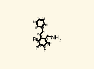 NCc1c(F)c(F)c(F)c(F)c1CCc1ccccc1